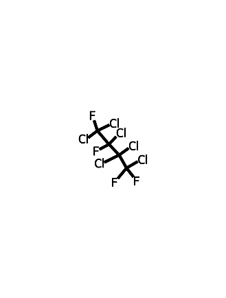 FC(F)(Cl)C(Cl)(Cl)C(F)(Cl)C(F)(Cl)Cl